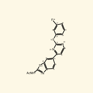 CC(=O)Nc1nc2ccc(-c3ccnc(Sc4cccc(F)c4)n3)cc2s1